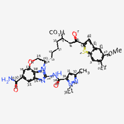 CCc1cc2sc(C(=O)CC(CCCC[C@H]3COc4cc(C(N)=O)cc5nc(NC(=O)c6cc(C)nn6CC)n3c45)C(=O)O)cc2cc1OC